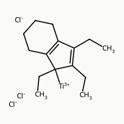 CCC1=C(CC)[C]([Ti+3])(CC)C2=C1CCCC2.[Cl-].[Cl-].[Cl-]